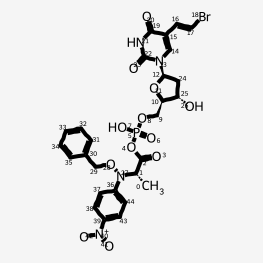 C[C@@H](C(=O)OP(=O)(O)OC[C@H]1O[C@@H](n2cc(/C=C/Br)c(=O)[nH]c2=O)C[C@@H]1O)N(OCc1ccccc1)c1ccc([N+](=O)[O-])cc1